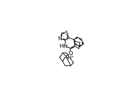 C[N+]12CC3CC(C1)C(OC(Nc1ncsc1-c1ccccc1)=C1CCC1)C(C3)C2